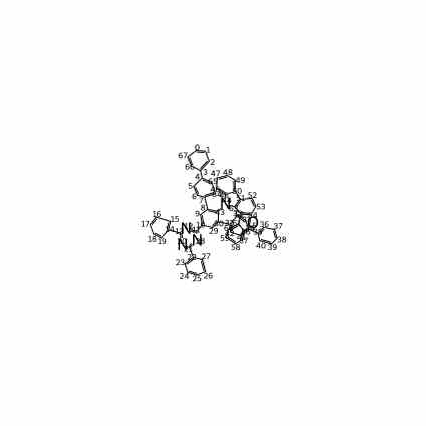 c1ccc(-c2ccc(-c3cc(-c4nc(-c5ccccc5)nc(-c5ccccc5)n4)cc(-c4ccc(-c5ccccc5)cc4)c3-n3c4ccccc4c4ccc5oc6ccccc6c5c43)cc2)cc1